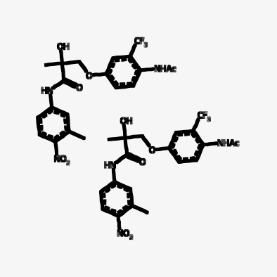 CC(=O)Nc1ccc(OCC(C)(O)C(=O)Nc2ccc([N+](=O)[O-])c(C)c2)cc1C(F)(F)F.CC(=O)Nc1ccc(OCC(C)(O)C(=O)Nc2ccc([N+](=O)[O-])c(C)c2)cc1C(F)(F)F